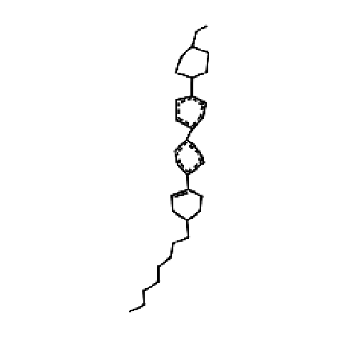 CCCCCCCCC1CC=C(c2ccc(-c3ccc(C4CCC(CC)CC4)cc3)cc2)CC1